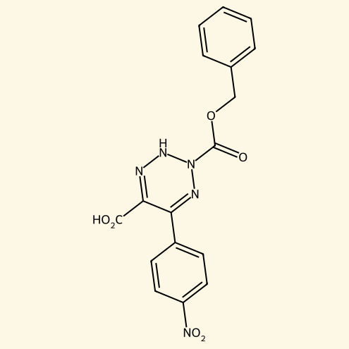 O=C(O)C1=NNN(C(=O)OCc2ccccc2)N=C1c1ccc([N+](=O)[O-])cc1